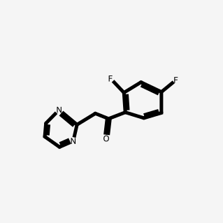 O=C(Cc1ncccn1)c1ccc(F)cc1F